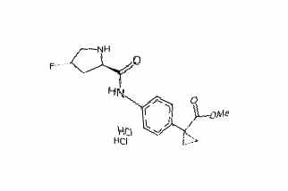 COC(=O)C1(c2ccc(NC(=O)[C@H]3C[C@H](F)CN3)cc2)CC1.Cl.Cl